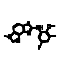 COc1c(C)cc(F)cc1Nc1nc2c(ccc3c2ncn3C)s1